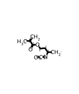 [CH2]C(CCOC(=O)C(=C)C)N=C=O